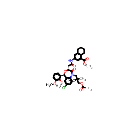 COC(=O)c1cc(NC(=O)C[C@H]2O[C@H](c3cccc(OC)c3OC)c3cc(Cl)ccc3N(CC(C)(C)COC(C)=O)C2=O)cc2c1CCCC2